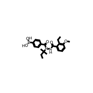 CCc1c(OC)cccc1C(=O)NN(C(=O)c1ccc(B(O)O)cc1)C(C)(C)CC